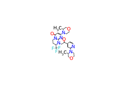 CC1COCCN1c1cc(C(=O)CN2c3nc(N4CCOCC4C)cc(=O)n3CCC2C(F)(F)F)ccn1